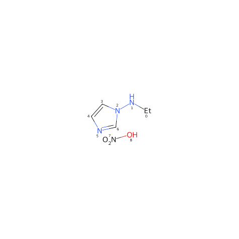 CCNn1ccnc1.O=[N+]([O-])O